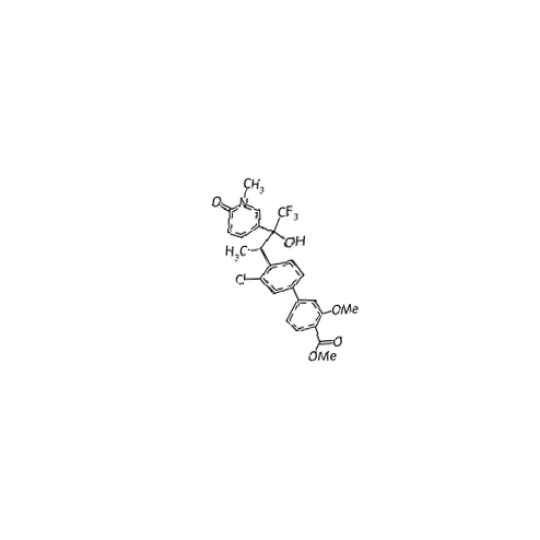 COC(=O)c1ccc(-c2ccc(C(C)C(O)(c3ccc(=O)n(C)c3)C(F)(F)F)c(Cl)c2)cc1OC